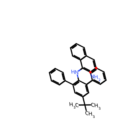 CC(C)(C)c1cc(-c2ccccc2)c(Nc2c(N)ccc3ccccc23)c(-c2ccccc2)c1